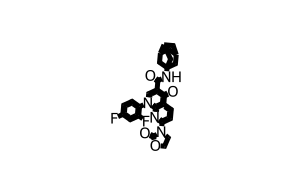 O=C(NC12CC3CC(C1)C(C3)C2)c1cn(-c2ccc(F)cc2F)c2nc(N3CCOC3=O)ccc2c1=O